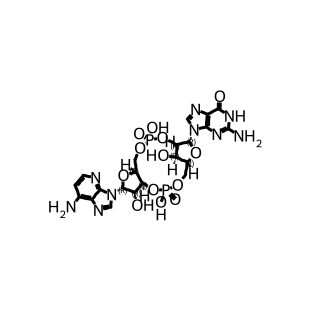 Nc1nc2c(ncn2[C@@H]2O[C@@H]3COP(=O)(O)O[C@H]4[C@@H](O)[C@H](n5cnc6c(N)ccnc65)O[C@@H]4COP(=O)(O)O[C@@H]2[C@@H]3O)c(=O)[nH]1